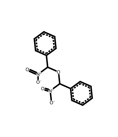 O=[N+]([O-])C(OC(c1ccccc1)[N+](=O)[O-])c1ccccc1